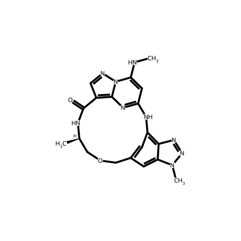 CNc1cc2nc3c(cnn13)C(=O)N[C@H](C)COCc1cc(c3nnn(C)c3c1)N2